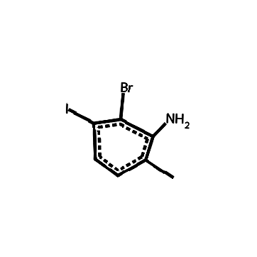 Cc1ccc(I)c(Br)c1N